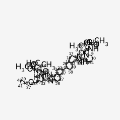 COC(=O)N[C@H](C(=O)N1CCC#C[C@H]1c1nc2ccc3cc(-c4ccc5c(ccc6nc([C@@H]7C[C@@H](COCC8CCC8)CN7C(=O)[C@@H](NC(=O)OC)C(C)C)[nH]c65)c4)ccc3c2[nH]1)C(C)C